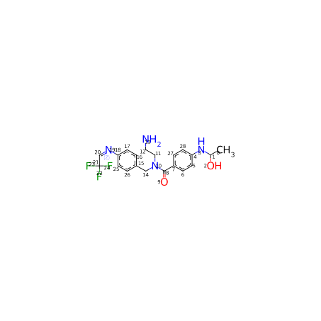 CC(O)Nc1ccc(C(=O)N(CCN)Cc2ccc(/N=C\C(F)(F)F)cc2)cc1